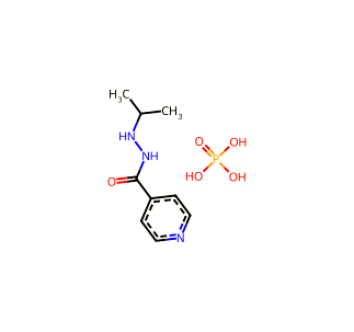 CC(C)NNC(=O)c1ccncc1.O=P(O)(O)O